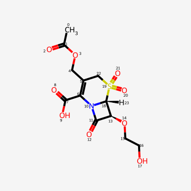 CC(=O)OCC1=C(C(=O)O)N2C(=O)[C@H](OCCO)[C@H]2S(=O)(=O)C1